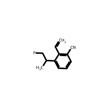 C=Cc1c(C#N)cccc1[C](C)CF